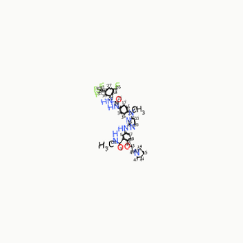 CNC(=O)c1cc(Nc2nccc(N(C)c3ccc(NC(=O)Nc4cc(F)cc(C(F)(F)F)c4)cc3)n2)ccc1OCCN1CCCC1